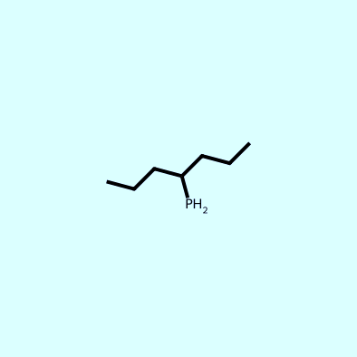 CCCC(P)CCC